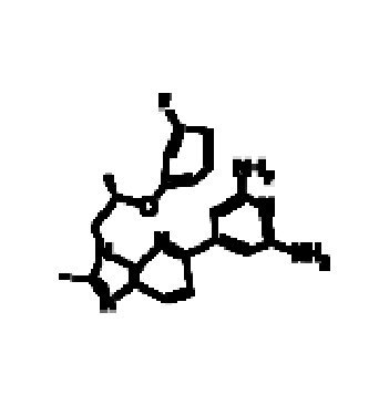 Cc1nc2ccc(-c3cc(N)nc(N)c3)nc2n1C[C@@H](C)Oc1cccc(F)c1